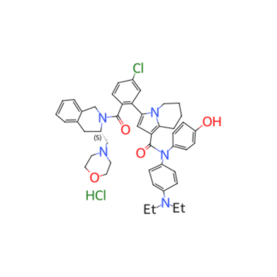 CCN(CC)c1ccc(N(C(=O)c2cc(-c3cc(Cl)ccc3C(=O)N3Cc4ccccc4C[C@H]3CN3CCOCC3)n3c2CCCC3)c2ccc(O)cc2)cc1.Cl